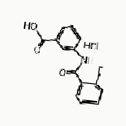 Cl.O=C(O)c1cccc(NC(=O)c2ccccc2F)c1